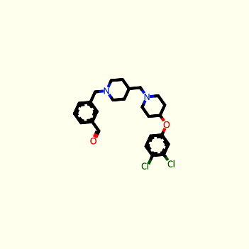 O=Cc1cccc(CN2CCC(CN3CCC(Oc4ccc(Cl)c(Cl)c4)CC3)CC2)c1